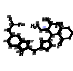 N=C1NC2=C(C(=O)CCC2)C(c2ccc(Sc3nc4cc(OC(F)F)ccc4[nH]3)o2)/C1=C/N